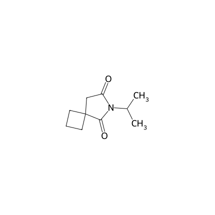 CC(C)N1C(=O)CC2(CCC2)C1=O